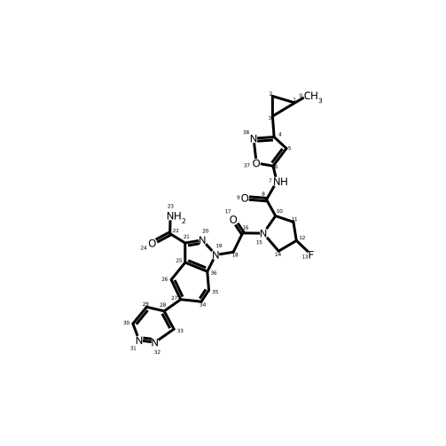 CC1CC1c1cc(NC(=O)C2CC(F)CN2C(=O)Cn2nc(C(N)=O)c3cc(-c4ccnnc4)ccc32)on1